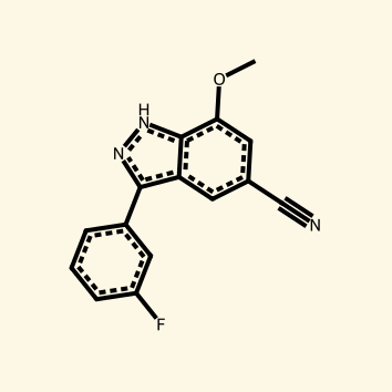 COc1cc(C#N)cc2c(-c3cccc(F)c3)n[nH]c12